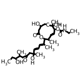 CCNC(=O)OC1/C=C/C(C)C(/C(C)=C/C=C/C(C)(O)CC2OC2C(C)C(O)CC)OC(=O)CC(O)CCC1(C)O